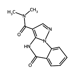 CN(C)C(=O)c1cnn2c1[nH]c(=O)c1ccccc12